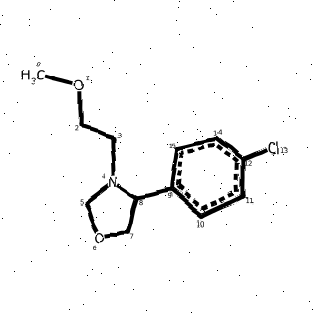 COCCN1COCC1c1ccc(Cl)cc1